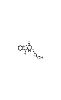 O=c1cc(CNCCO)nc(Nc2ccccc2)[nH]1